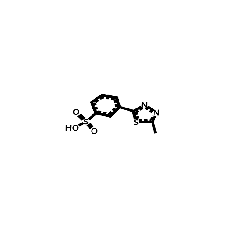 Cc1nnc(-c2cccc(S(=O)(=O)O)c2)s1